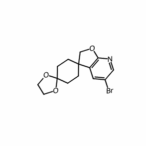 Brc1cnc2c(c1)C1(CCC3(CC1)OCCO3)CO2